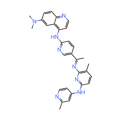 C/C(=N\c1nc(Nc2ccnc(C)c2)ccc1C)c1ccc(Nc2ccnc3ccc(N(C)C)cc23)nc1